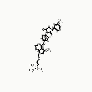 C[Si](C)(C)CCOCn1cc(C(F)(F)F)c2c(OC34CCC(N5C(=O)CN(c6cncc(C(F)(F)F)c6)C5=O)(CC3)C4)ncnc21